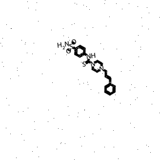 NS(=O)(=O)c1ccc(NC(=S)N2CCN(C/C=C/c3ccccc3)CC2)cc1